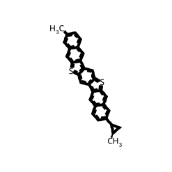 Cc1ccc2cc3c(cc2c1)sc1cc2c(cc13)sc1cc3cc(C4C[C@H]4C)ccc3cc12